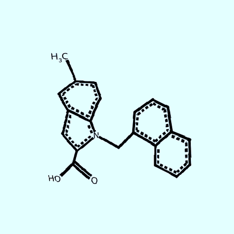 Cc1ccc2c(c1)cc(C(=O)O)n2Cc1cccc2ccccc12